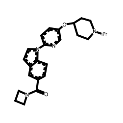 CC(C)N1CCC(Oc2ccc(-n3ccc4cc(C(=O)N5CCC5)ccc43)nc2)CC1